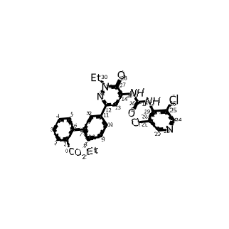 CCOC(=O)c1ccccc1-c1cccc(-c2cc(NC(=O)Nc3c(Cl)cncc3Cl)c(=O)n(CC)n2)c1